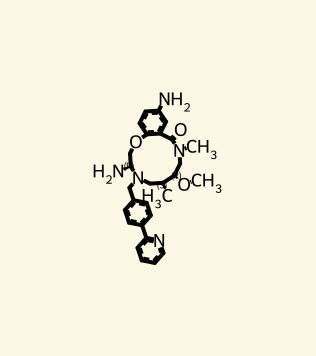 CO[C@H]1CN(C)C(=O)c2cc(N)ccc2OC[C@H](N)N(Cc2ccc(-c3ccccn3)cc2)C[C@@H]1C